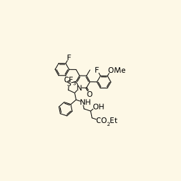 CCOC(=O)CC(O)CNC(c1ccccc1)C1CSc2c(Cc3c(F)cccc3C(F)(F)F)c(C)c(-c3cccc(OC)c3F)c(=O)n21